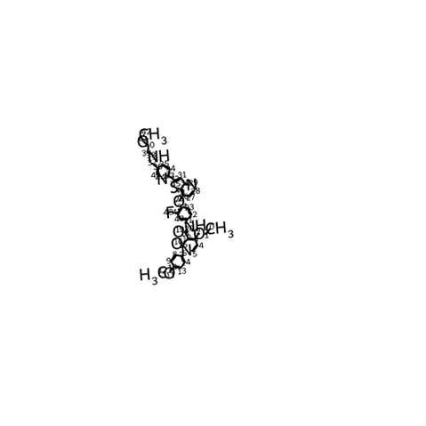 CCOc1ccn(-c2ccc(OC)cc2)c(=O)c1C(=O)Nc1ccc(Oc2ccnc3cc(-c4ccc(CNCCOC)cn4)sc23)c(F)c1